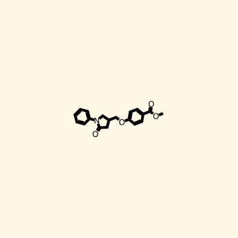 COC(=O)c1ccc(OCC2CC(=O)N(c3ccccc3)C2)cc1